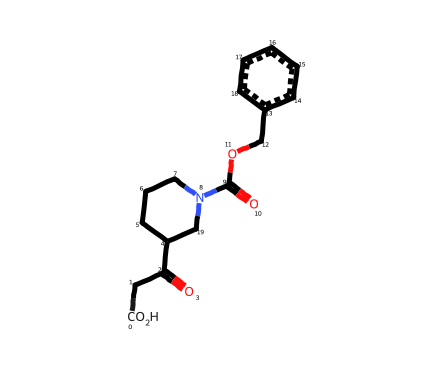 O=C(O)CC(=O)C1CCCN(C(=O)OCc2ccccc2)C1